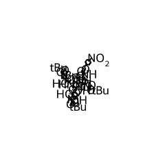 CN(C(=O)OC(C)(C)C)[C@@H]1[C@@H](O)[C@@H](O[C@@H]2[C@@H](O)[C@H](O[C@H]3OC(CNC(=O)OCc4ccc([N+](=O)[O-])cc4)=CC[C@H]3NC(=O)OC(C)(C)C)[C@@H](NC(=O)OC(C)(C)C)C[C@H]2NC(=O)C(O)C2CN(C(=O)OC(C)(C)C)C2)OC[C@]1(C)O